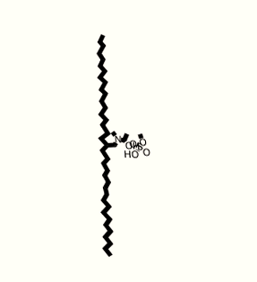 CCCCCCCCCCCCCCCCCCC(CCCCCCCCCCCCCCCCCC)CN(C)C(C)O.COS(=O)(=O)O